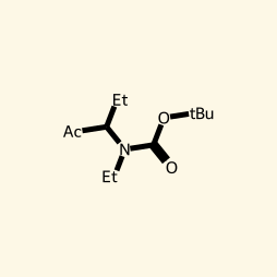 CCC(C(C)=O)N(CC)C(=O)OC(C)(C)C